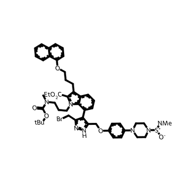 CCOC(=O)c1c(CCCOc2cccc3ccccc23)c2cccc(-c3c(CBr)n[nH]c3COc3ccc(N4CCN([S+]([O-])NC)CC4)cc3)c2n1CCCN(C)C(=O)OC(C)(C)C